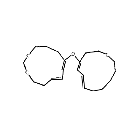 C1=C/CCCCCCCC\C(O/C2=C/C=C/CCCCCCCC2)=C/1